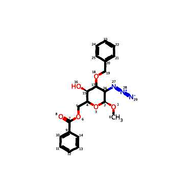 CO[C@H]1OC(COC(=O)c2ccccc2)[C@@H](O)C(OCc2ccccc2)C1N=[N+]=[N-]